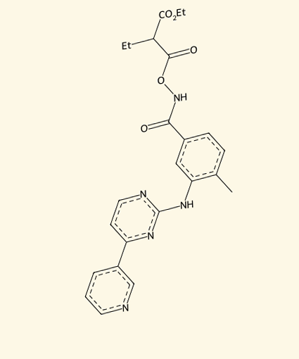 CCOC(=O)C(CC)C(=O)ONC(=O)c1ccc(C)c(Nc2nccc(-c3cccnc3)n2)c1